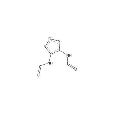 O=CNc1nonc1NC=O